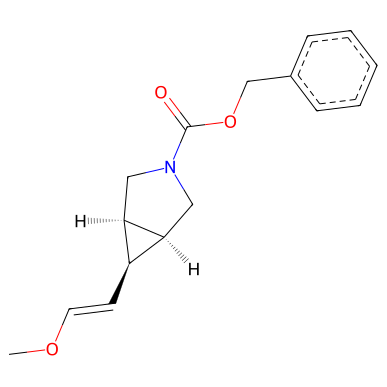 COC=C[C@H]1[C@H]2CN(C(=O)OCc3ccccc3)C[C@@H]12